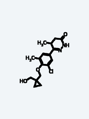 Cc1cc(C2=NNC(=O)CC2C)cc(Cl)c1OCC1(CO)CC1